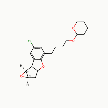 Clc1cc(CCCCOC2CCCCO2)c2c(c1)C1C(C[C@H]3O[C@@H]13)O2